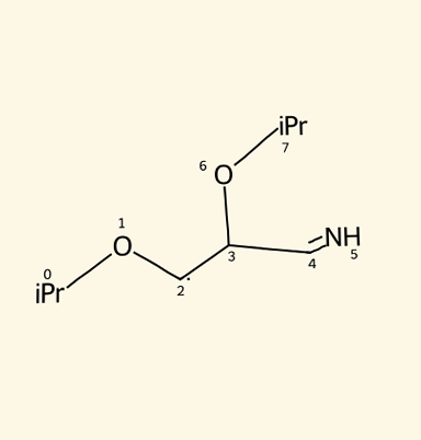 CC(C)O[CH]C(C=N)OC(C)C